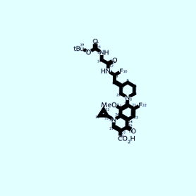 COc1c(N2CCCC(=CC(F)NC(=O)CNC(=O)OC(C)(C)C)C2)c(F)cc2c(=O)c(C(=O)O)cn(C3CC3)c12